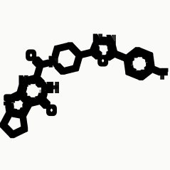 O=C(c1nc2sc3c(c2c(=O)[nH]1)CCC3)N1CCC(c2nnc(-c3ccc(F)cc3)o2)CC1